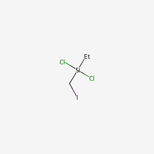 CC[Si](Cl)(Cl)CI